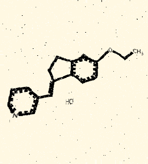 CCOc1ccc2c(c1)CCC2=Cc1cccnc1.Cl